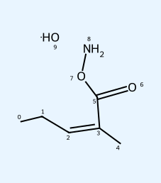 CCC=C(C)C(=O)ON.[OH]